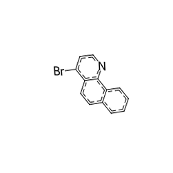 Brc1ccnc2c1ccc1ccccc12